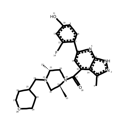 Cc1n[nH]c2nc(-c3ccc(O)cc3F)cc(C(=O)N3C[C@@H](C)N(CC4CCOCC4)C[C@@H]3C)c12